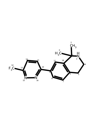 CC1(C)NCCc2ccc(-c3ccc(C(F)(F)F)nn3)cc21